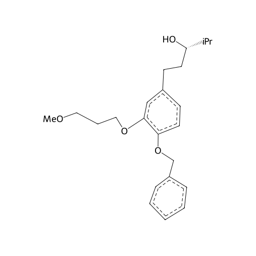 COCCCOc1cc(CC[C@H](O)C(C)C)ccc1OCc1ccccc1